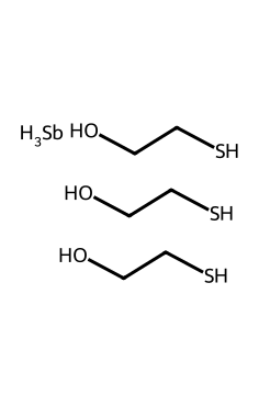 OCCS.OCCS.OCCS.[SbH3]